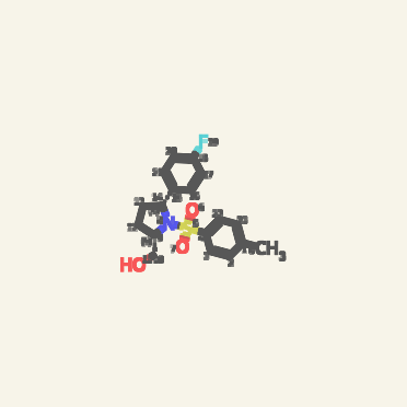 Cc1ccc(S(=O)(=O)N2[C@H](CO)CC[C@@H]2c2ccc(F)cc2)cc1